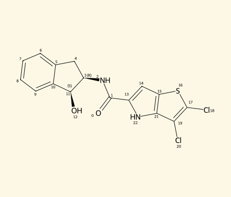 O=C(N[C@@H]1Cc2ccccc2[C@@H]1O)c1cc2sc(Cl)c(Cl)c2[nH]1